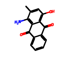 Cc1cc(O)c2c(c1N)C(=O)c1ccccc1C2=O